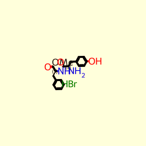 Br.COC(=O)[C@H](Cc1ccccc1)NC(=O)[C@@H](N)Cc1ccc(O)cc1